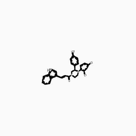 O=C(/C=C/c1c[nH]c2ccccc12)N1CCN(c2ccc(Cl)cc2Cl)C(c2ccc(Cl)cc2)C1